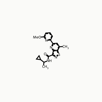 COc1cccc(-c2cc(C)c3snc(C(=O)NC(C)C4CC4)c3n2)n1